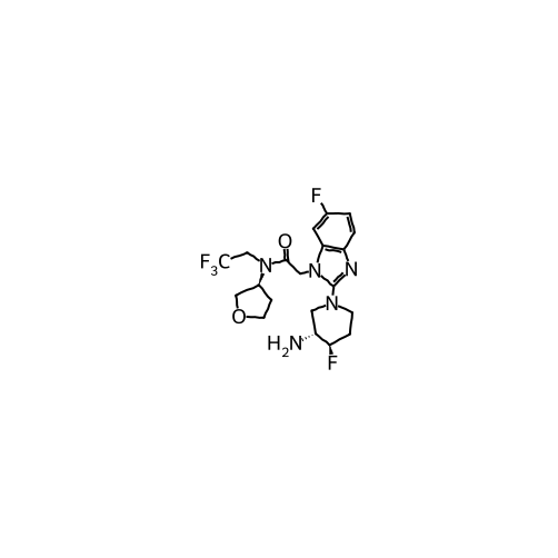 N[C@@H]1CN(c2nc3ccc(F)cc3n2CC(=O)N(CC(F)(F)F)[C@H]2CCOC2)CC[C@H]1F